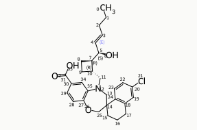 CCC/C=C/[C@@H](O)[C@@H]1CC[C@H]1CN1CC2(CCCc3cc(Cl)ccc32)COc2ccc(C(=O)O)cc21